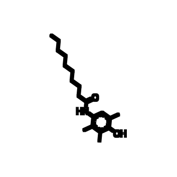 CCCCCCCCCC(=O)Nc1cc(C)c(O)c(C)c1C